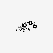 CC(C)CC1NC(=O)C2(CCN(Cc3ccc(Oc4ccccc4)cc3)CC2)N(CC(C)C)C1=O